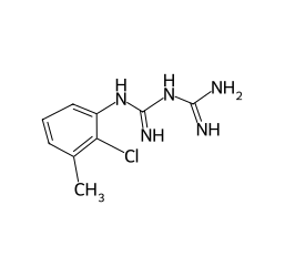 Cc1cccc(NC(=N)NC(=N)N)c1Cl